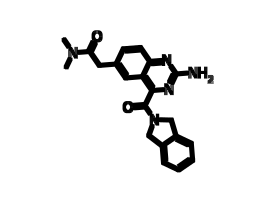 CN(C)C(=O)Cc1ccc2nc(N)nc(C(=O)N3Cc4ccccc4C3)c2c1